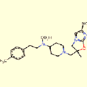 CC1(CN2CCC(N(CCc3ccc(C(F)(F)F)cc3)C(=O)O)CC2)Cn2cc([N+](=O)[O-])nc2O1